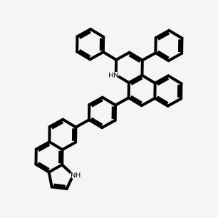 C1=C(c2ccccc2)c2c(c(-c3ccc(-c4ccc5ccc6cc[nH]c6c5c4)cc3)cc3ccccc23)NC1c1ccccc1